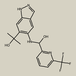 CC(C)(O)c1cc2[nH]ncc2cc1NC(O)c1cccc(C(F)(F)F)n1